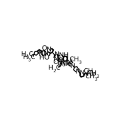 C=CC(=O)Nc1cc(Nc2nc(-c3ccnc(N4CCn5c(cc6c5CC(C)(C)C6)C4=O)c3CO)cn(C)c2=O)ccc1N1CCN(C2CCN(c3cccc(C(C)(C)N)n3)CC2)C[C@@H]1C